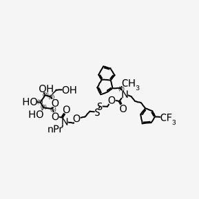 CCCN(COCCSSCOC(=O)N(CCCc1cccc(C(F)(F)F)c1)[C@H](C)c1cccc2ccccc12)C(=O)O[C@@H]1O[C@H](CO)[C@H](O)[C@H](O)[C@H]1O